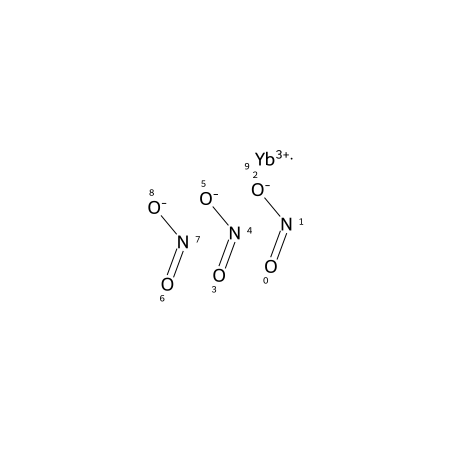 O=N[O-].O=N[O-].O=N[O-].[Yb+3]